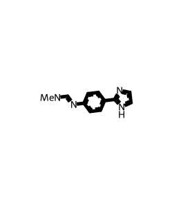 CNC=Nc1ccc(-c2ncc[nH]2)cc1